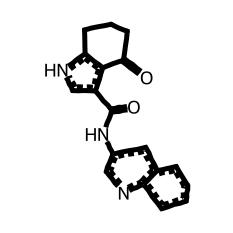 O=C(Nc1cnc2ccccc2c1)c1c[nH]c2c1C(=O)CCC2